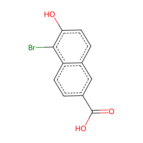 O=C(O)c1ccc2c(Br)c(O)ccc2c1